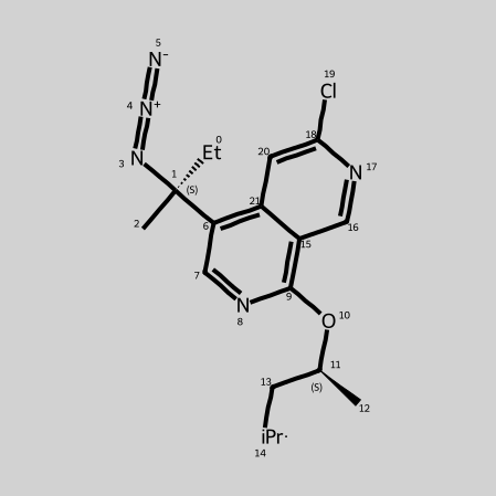 CC[C@](C)(N=[N+]=[N-])c1cnc(O[C@@H](C)C[C](C)C)c2cnc(Cl)cc12